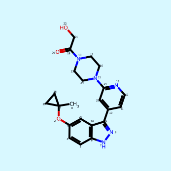 CC1(Oc2ccc3[nH]nc(-c4ccnc(N5CCN(C(=O)CO)CC5)c4)c3c2)CC1